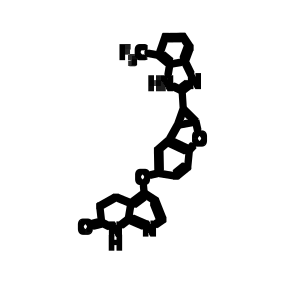 O=C1CCc2c(Oc3ccc4c(c3)C3C(O4)C3c3nc4cccc(C(F)(F)F)c4[nH]3)ccnc2N1